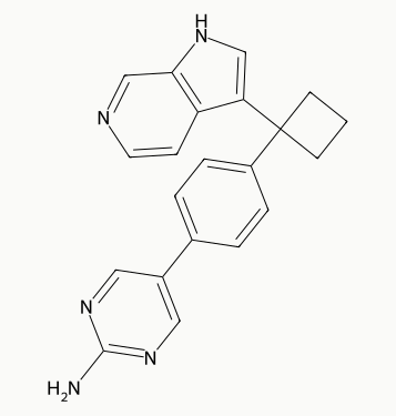 Nc1ncc(-c2ccc(C3(c4c[nH]c5cnccc45)CCC3)cc2)cn1